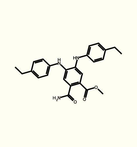 CCc1ccc(Nc2cc(C(N)=O)c(C(=O)OC)cc2Nc2ccc(CC)cc2)cc1